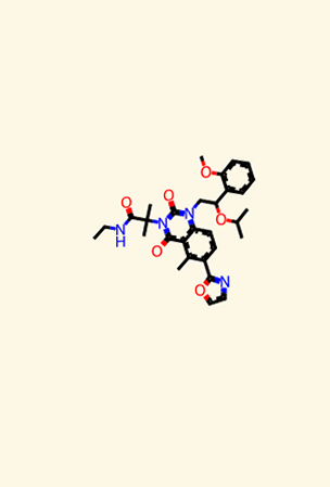 CCNC(=O)C(C)(C)n1c(=O)c2c(C)c(-c3ncco3)ccc2n(CC(OC(C)C)c2ccccc2OC)c1=O